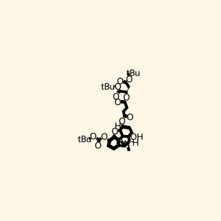 CN1CC[C@]23c4c5ccc(OC(=O)OC(C)(C)C)c4O[C@H]2C(OC(=O)CCC(=O)O[C@@H](CC(=O)OC(C)(C)C)C(=O)OC(C)(C)C)=CC[C@@]3(O)[C@H]1C5